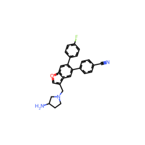 N#Cc1ccc(-c2cc3c(CN4CCC(N)C4)coc3cc2-c2ccc(F)cc2)cc1